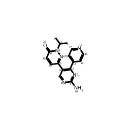 CC(C)n1nc(-c2cnc(N)nc2-c2ccncc2)ccc1=O